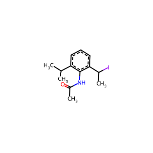 CC(=O)Nc1c(C(C)C)cccc1C(C)I